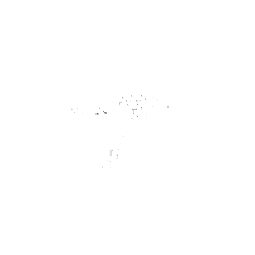 COC(=O)NC(=O)c1ccc(Nc2nc(NCCOCCOCCNC(=O)c3ccccc3)nc(Nc3ccc(O)cc3)n2)cc1